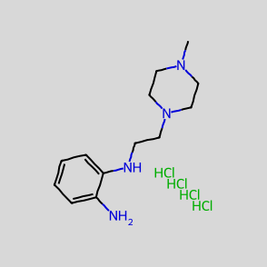 CN1CCN(CCNc2ccccc2N)CC1.Cl.Cl.Cl.Cl